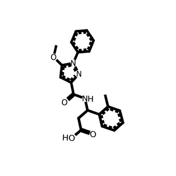 COc1cc(C(=O)NC(CC(=O)O)c2ccccc2C)nn1-c1ccccc1